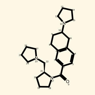 O=C(c1ccc2c(c1)CCC(N1CCCC1)C2)N1CCC[C@H]1CN1CCCC1